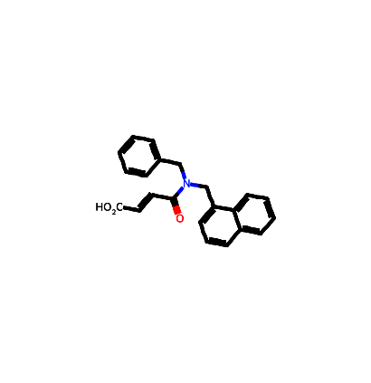 O=C(O)C=CC(=O)N(Cc1ccccc1)Cc1cccc2ccccc12